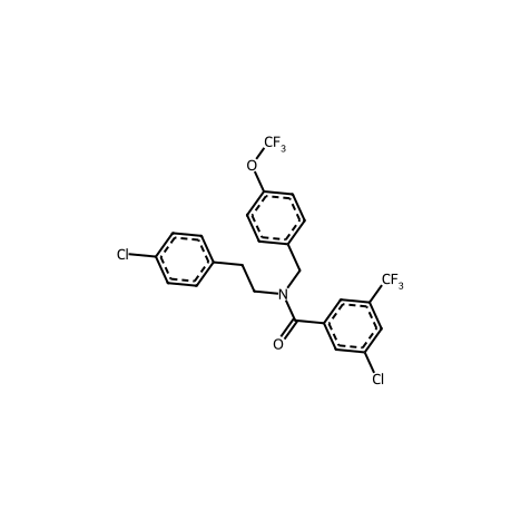 O=C(c1cc(Cl)cc(C(F)(F)F)c1)N(CCc1ccc(Cl)cc1)Cc1ccc(OC(F)(F)F)cc1